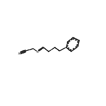 N#CCN=CCCCc1ccccc1